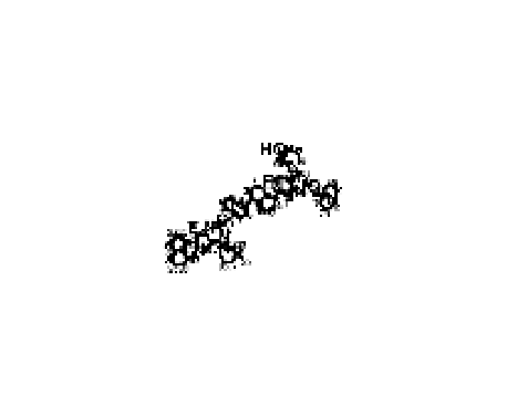 CCc1ccc(C2CCC3(COc4nc(N5CCCC(C)(C)C5)c5cnc(-c6cccc7cccc(F)c67)c(F)c5n4)CCCN23)c2cccc(-c3ncc4c(N5CCCC(C)(O)C5)nc(OCC56CCCN5CCC6)nc4c3F)c12